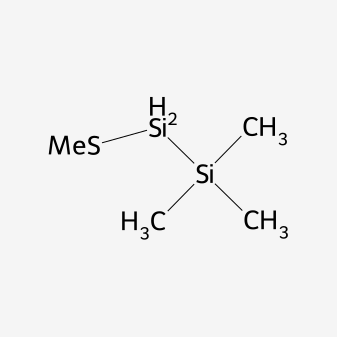 CS[SiH2][Si](C)(C)C